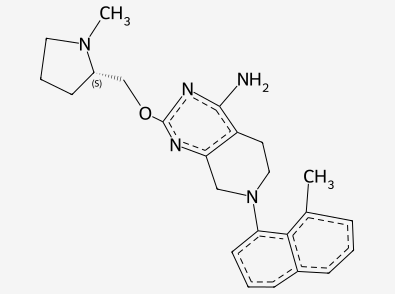 Cc1cccc2cccc(N3CCc4c(N)nc(OC[C@@H]5CCCN5C)nc4C3)c12